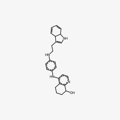 OC1CCCc2c(Nc3ccc(NCCC4=CNC5C=CC=CC45)cc3)ccnc21